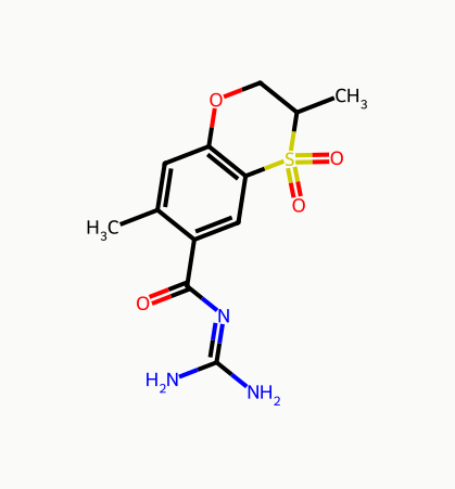 Cc1cc2c(cc1C(=O)N=C(N)N)S(=O)(=O)C(C)CO2